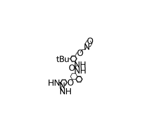 CC(C)(C)c1cc(COCCN2CCOCC2)cc(NC(=O)N[C@H]2CC[C@@H](Oc3ccc(=N)n(C=N)c3)c3ccccc32)c1